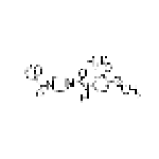 COc1ccc(NC(=O)N2CCN(C(=O)c3ccco3)CC2)cc1OC